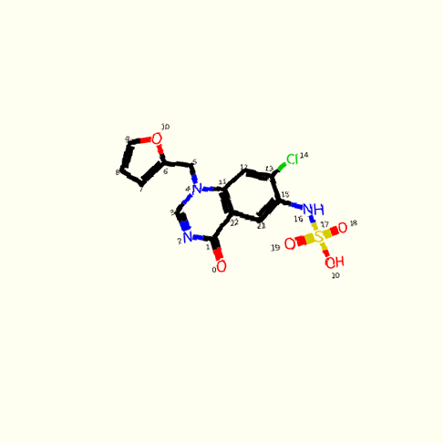 O=c1ncn(Cc2ccco2)c2cc(Cl)c(NS(=O)(=O)O)cc12